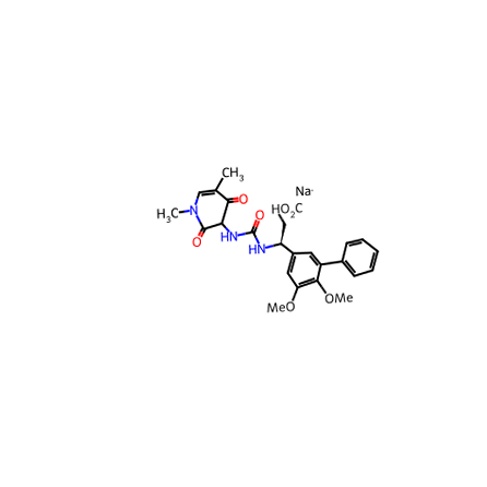 COc1cc([C@H](CC(=O)O)NC(=O)NC2C(=O)C(C)=CN(C)C2=O)cc(-c2ccccc2)c1OC.[Na]